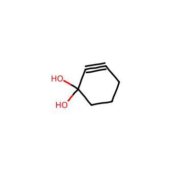 OC1(O)C#CCCC1